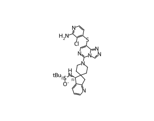 CC(C)(C)[S@@+]([O-])N[C@@H]1c2cccnc2CC12CCN(c1ncc(Sc3ccnc(N)c3Cl)c3nncn13)CC2